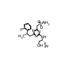 CC(C)C[C@H](CO)Nc1nc(C[C@@H](C)c2ccccc2F)nc(CS(N)(=O)=O)n1